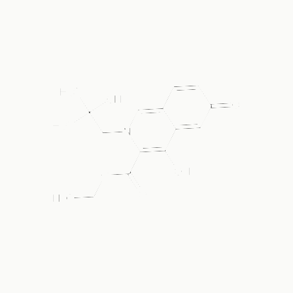 CCOC(=O)c1c(O)c2cc(=O)ccc-2cn1CC(C)(C)C